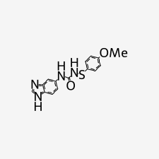 COc1ccc(SNC(=O)Nc2ccc3[nH]cnc3c2)cc1